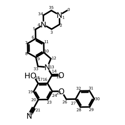 CN1CCN(Cc2ccc3c(c2)CN(C(=O)c2c(O)cc(C#N)cc2OCc2ccccc2)C3)CC1